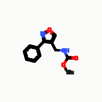 CC(C)(C)OC(=O)NCc1conc1-c1ccccc1